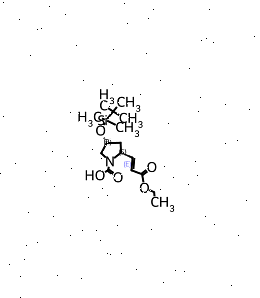 CCOC(=O)/C=C/[C@@H]1C[C@@H](O[Si](C)(C)C(C)(C)C)CN1C(=O)O